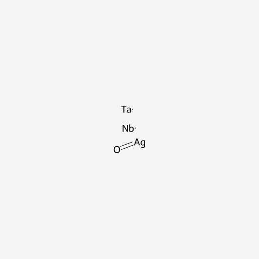 [Nb].[O]=[Ag].[Ta]